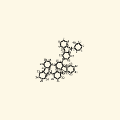 c1ccc(-n2c3ccccc3c3cc(-c4cc(-c5cccc6c7ccccc7n(-c7ccccc7)c56)cc5oc6ccccc6c45)ccc32)cc1